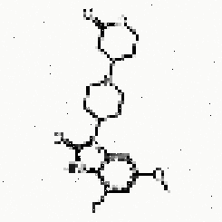 COc1cc(F)c2[nH]c(=O)n(C3CCN(C4CCOC(=O)C4)CC3)c2c1